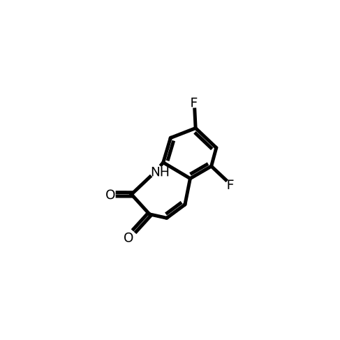 O=c1ccc2c(F)cc(F)cc2[nH]c1=O